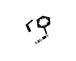 C=CC.[N-]=[N+]=Nc1ccccc1